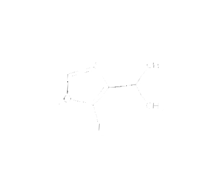 CC(C)c1ccoc1I